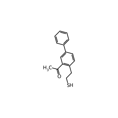 CC(=O)c1cc(-c2ccccc2)ccc1CCS